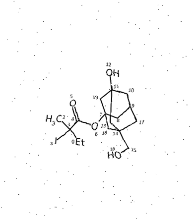 CCC(C)(I)C(=O)OC12CC3CC(O)(CC(CO)(C3)C1)C2